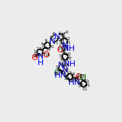 C[C@H](CN1CCN(c2ccc(C3CCC(=O)NC3=O)cc2)CC1)C1CCN(NC(=O)c2ccc(Nc3ncc(F)c(Nc4ccc(C(=O)Nc5ccccc5Cl)cc4)n3)cc2)CC1